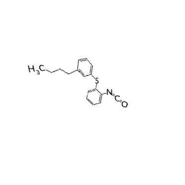 CCCCc1cccc(Sc2ccccc2N=C=O)c1